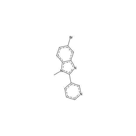 Cn1c(-c2cccnc2)nc2cc(Br)ccc21